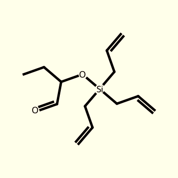 C=CC[Si](CC=C)(CC=C)OC(C=O)CC